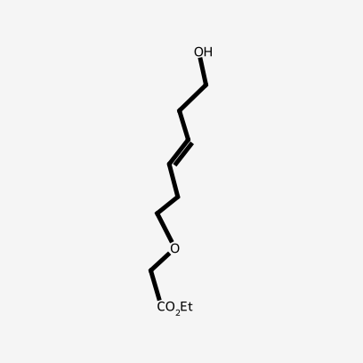 CCOC(=O)COCCC=CCCO